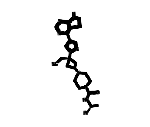 CC(C)[C@@H](C)NC(=O)N1CCN([C@H]2C[C@](CC#N)(n3cc(-c4ncnc5[nH]ccc45)cn3)C2)CC1